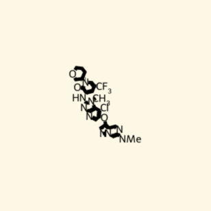 CNc1cn2ncc(Oc3cnc4nc(Nc5cc(C(F)(F)F)cn([C@@H]6CCCOC6)c5=O)n(C)c4c3Cl)c2cn1